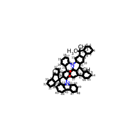 CC1(C)c2ccccc2-c2cc3c(cc21)N(c1ccccc1-c1ccc2c(c1)C1(c4ccccc4-c4ccccc41)c1cccc4c5ccccc5n-2c14)c1cccc2c1C3(C)c1ccccc1-2